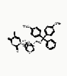 COc1ccc(C(SC[C@]23COC(C2O)[C@H](n2cc(C)c(=O)[nH]c2=O)O3)(c2ccccc2)c2ccc(OC)cc2)cc1